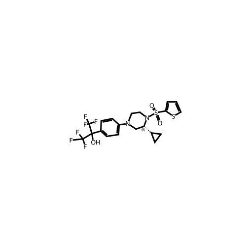 O=S(=O)(c1cccs1)N1CCN(c2ccc(C(O)(C(F)(F)F)C(F)(F)F)cc2)C[C@H]1C1CC1